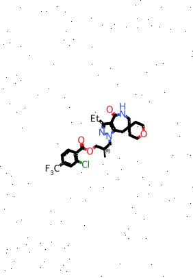 CCc1nn(C[C@@H](C)COC(=O)c2ccc(C(F)(F)F)cc2Cl)c2c1C(=O)NCC1(CCOCC1)C2